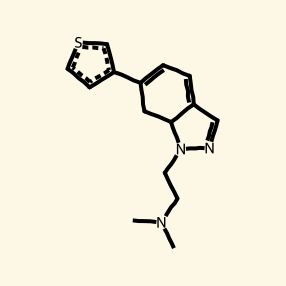 CN(C)CCN1N=CC2=CC=C(c3ccsc3)CC21